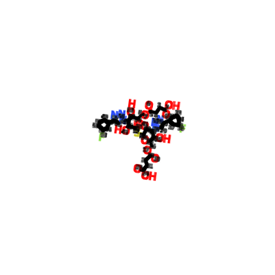 O=C(O)CCC(=O)OC[C@H]1O[C@@H](S[C@@H]2O[C@H](COC(=O)CCC(=O)O)[C@H](O)[C@H](n3cc(-c4cccc(F)c4)nn3)[C@H]2O)[C@H](O)[C@@H](n2cc(-c3cccc(F)c3)nn2)[C@H]1O